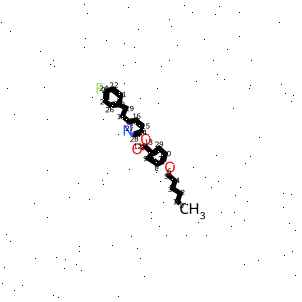 CCCCCCOc1ccc(C(=O)Oc2ccc(CCc3ccc(F)cc3)nc2)cc1